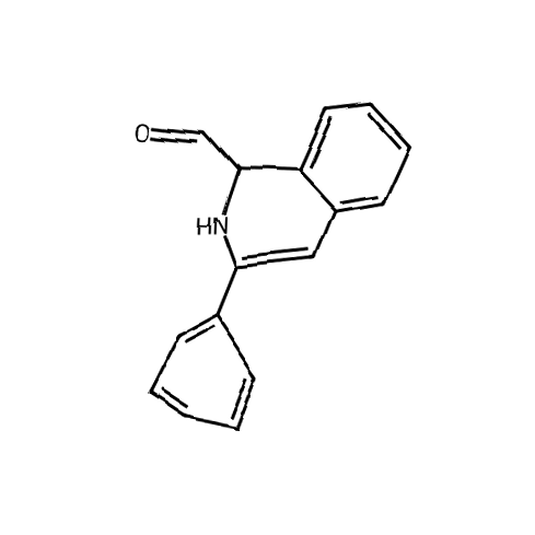 O=CC1NC(c2ccccc2)=Cc2ccccc21